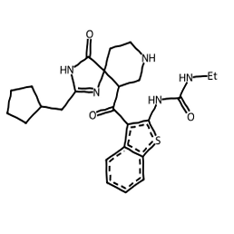 CCNC(=O)Nc1sc2ccccc2c1C(=O)C1CNCCC12N=C(CC1CCCC1)NC2=O